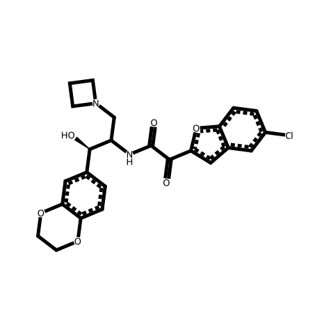 O=C(NC(CN1CCC1)[C@H](O)c1ccc2c(c1)OCCO2)C(=O)c1cc2cc(Cl)ccc2o1